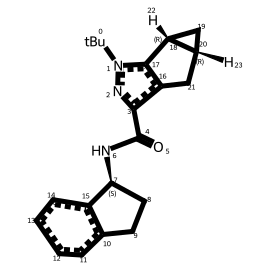 CC(C)(C)n1nc(C(=O)N[C@H]2CCc3ccccc32)c2c1[C@@H]1C[C@@H]1C2